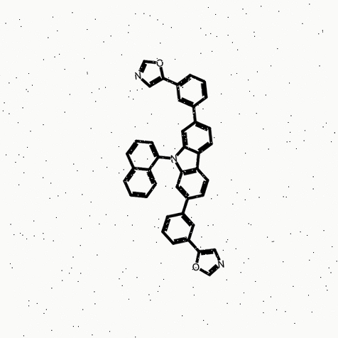 c1cc(-c2ccc3c4ccc(-c5cccc(-c6cnco6)c5)cc4n(-c4cccc5ccccc45)c3c2)cc(-c2cnco2)c1